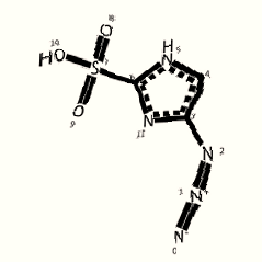 [N-]=[N+]=Nc1c[nH]c(S(=O)(=O)O)n1